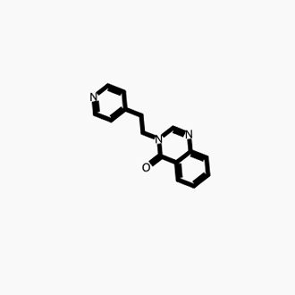 O=c1c2ccccc2ncn1CCc1ccncc1